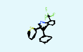 FC(F)(F)c1cccc2c(-c3ccccc3)c(-c3cccs3)cnc12